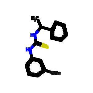 COc1cccc(NC(=S)NC(C)c2ccccc2)c1